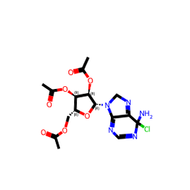 CC(=O)OC[C@H]1O[C@@H](N2CN=C3C2=NC=NC3(N)Cl)[C@H](OC(C)=O)[C@@H]1OC(C)=O